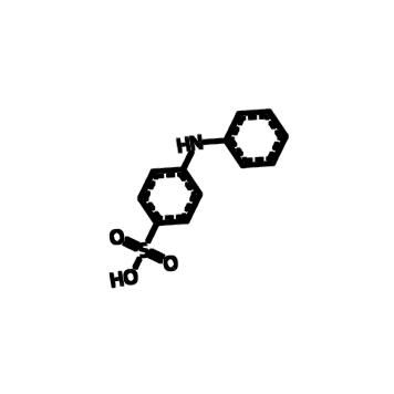 O=S(=O)(O)c1ccc(Nc2ccccc2)cc1